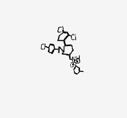 Cc1cccc(S(=O)(=O)NCC2CCC(C3=C(Cl)C=C(Cl)CC3)N(c3ccc(Cl)cc3)C2)c1